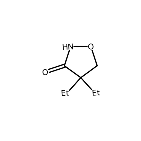 CCC1(CC)CONC1=O